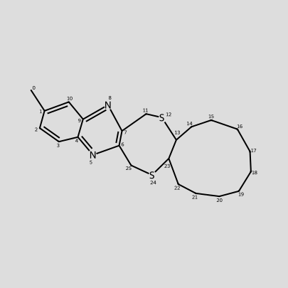 Cc1ccc2nc3c(nc2c1)CSC1CCCCCCCCCC1SC3